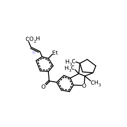 CCc1cc(C(=O)c2ccc3c(c2)C2(C)C4(C)CCC(C4)C2(C)O3)ccc1/C=C/C(=O)O